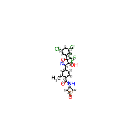 Cc1cc(C2=NOC(c3cc(Cl)cc(Cl)c3)(C(F)(F)F)C2O)ccc1C(=O)NC1C[S+]([O-])C1